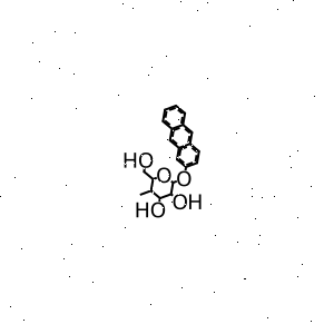 CC1C(CO)OC(Oc2ccc3cc4ccccc4cc3c2)C(O)C1O